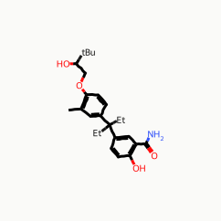 CCC(CC)(c1ccc(OCC(O)C(C)(C)C)c(C)c1)c1ccc(O)c(C(N)=O)c1